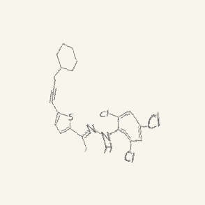 C/C(=N\Nc1c(Cl)cc(Cl)cc1Cl)c1ccc(C#CCC2CCCCC2)s1